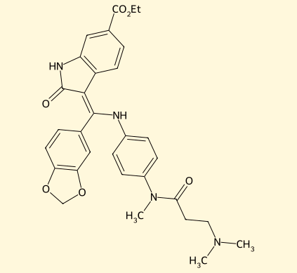 CCOC(=O)c1ccc2c(c1)NC(=O)C2=C(Nc1ccc(N(C)C(=O)CCN(C)C)cc1)c1ccc2c(c1)OCO2